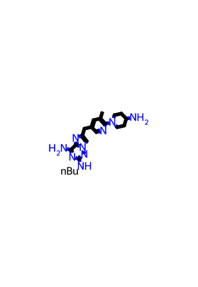 CCCCNc1nc(N)c2nc(Cc3cnc(N4CCC(N)CC4)c(C)c3)cn2n1